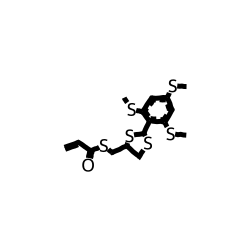 C=CC(=O)SCC1CSC(c2c(SC)cc(SC)cc2SC)S1